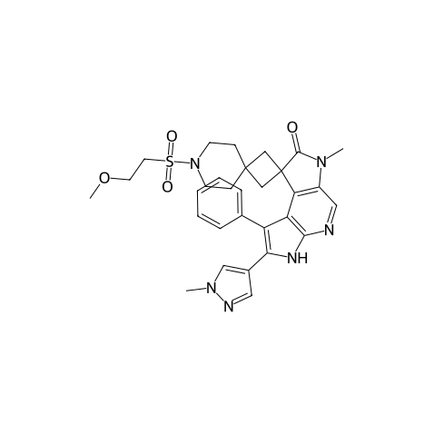 COCCS(=O)(=O)N1CCC2(CC1)CC1(C2)C(=O)N(C)c2cnc3[nH]c(-c4cnn(C)c4)c(-c4ccccc4)c3c21